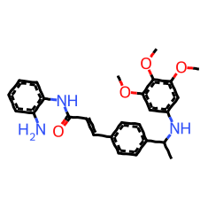 COc1cc(NC(C)c2ccc(C=CC(=O)Nc3ccccc3N)cc2)cc(OC)c1OC